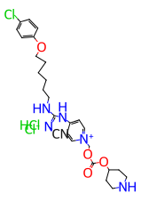 Cl.N#CN=C(NCCCCCCOc1ccc(Cl)cc1)Nc1cc[n+](COC(=O)OC2CCNCC2)cc1.[Cl-]